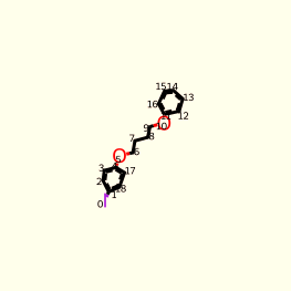 Ic1ccc(OCCCCOc2ccccc2)cc1